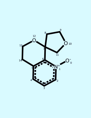 [O-][n+]1cccc2c1C1(CCOC1)OCC2